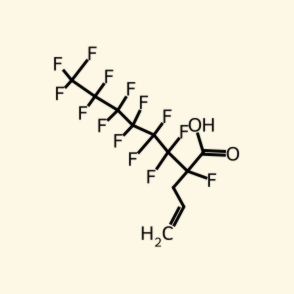 C=CCC(F)(C(=O)O)C(F)(F)C(F)(F)C(F)(F)C(F)(F)C(F)(F)C(F)(F)F